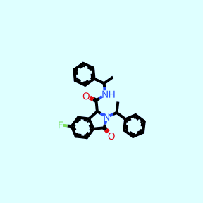 CC(NC(=O)C1c2cc(F)ccc2C(=O)N1C(C)c1ccccc1)c1ccccc1